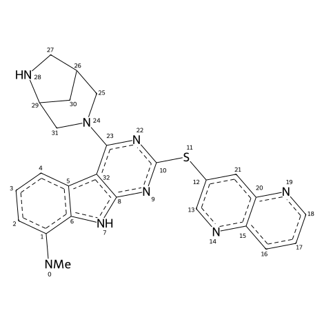 CNc1cccc2c1[nH]c1nc(Sc3cnc4cccnc4c3)nc(N3CC4CNC(C4)C3)c12